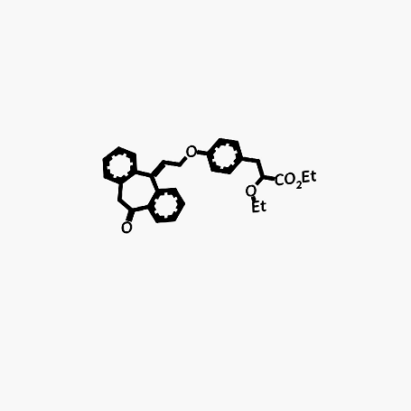 CCOC(=O)C(Cc1ccc(OCC=C2c3ccccc3CC(=O)c3ccccc32)cc1)OCC